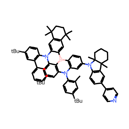 Cc1cc(C(C)(C)C)ccc1N1c2cc(N3c4ccc(-c5ccncc5)cc4C4(C)CCCCC34C)ccc2B2c3cc4c(cc3N(c3ccc(C(C)(C)C)cc3-c3ccccc3)c3cc(C(C)(C)C)cc1c32)C(C)(C)CCC4(C)C